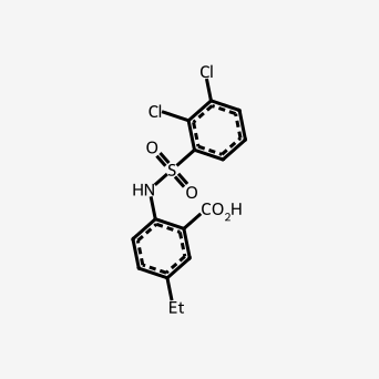 CCc1ccc(NS(=O)(=O)c2cccc(Cl)c2Cl)c(C(=O)O)c1